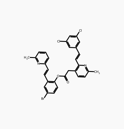 Cc1cccc(C=Cc2cc(Br)ccc2OC(=O)Cc2ccc(C)nc2C=Cc2cc(Cl)cc(Cl)c2)n1